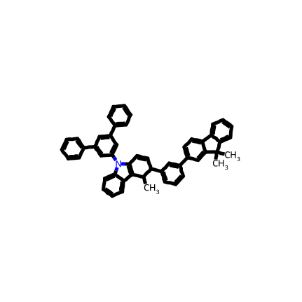 CC1c2c(n(-c3cc(-c4ccccc4)cc(-c4ccccc4)c3)c3ccccc23)C=CC1c1cccc(-c2ccc3c(c2)C(C)(C)c2ccccc2-3)c1